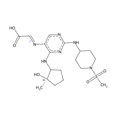 C[C@@]1(O)CCCC1Nc1nc(NC2CCN(S(C)(=O)=O)CC2)ncc1/N=C/C(=O)O